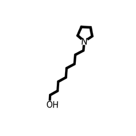 OCCCCCCCCN1CCCC1